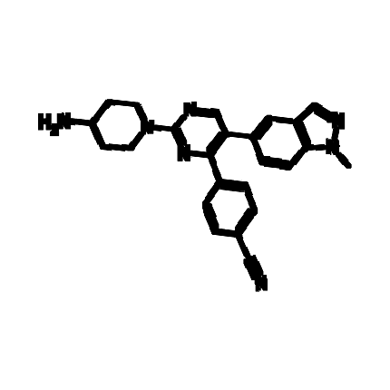 Cn1ncc2cc(-c3cnc(N4CCC(N)CC4)nc3-c3ccc(C#N)cc3)ccc21